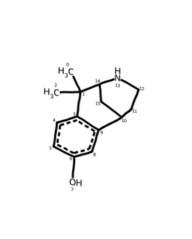 CC1(C)c2ccc(O)cc2C2CCNC1C2